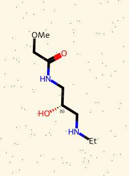 CCNC[C@H](O)CNC(=O)COC